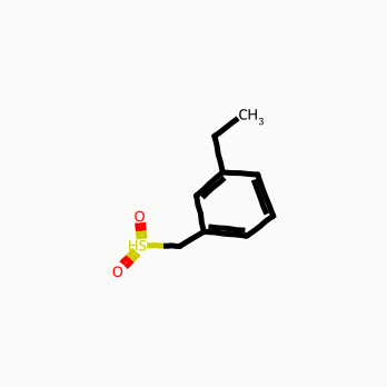 CCc1cccc(C[SH](=O)=O)c1